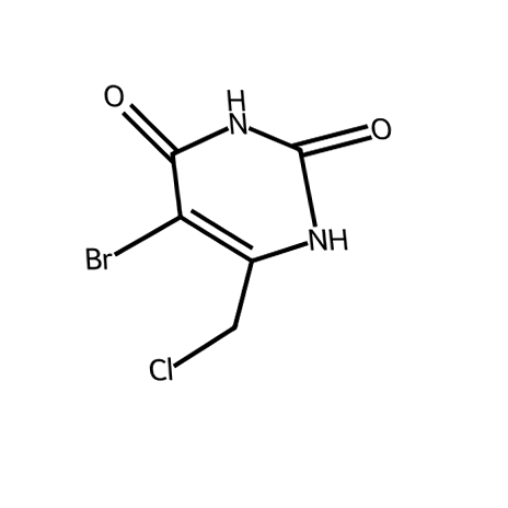 O=c1[nH]c(CCl)c(Br)c(=O)[nH]1